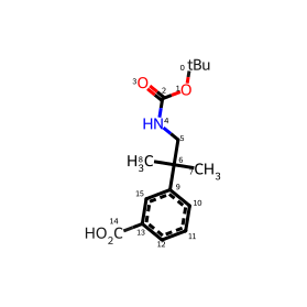 CC(C)(C)OC(=O)NCC(C)(C)c1cccc(C(=O)O)c1